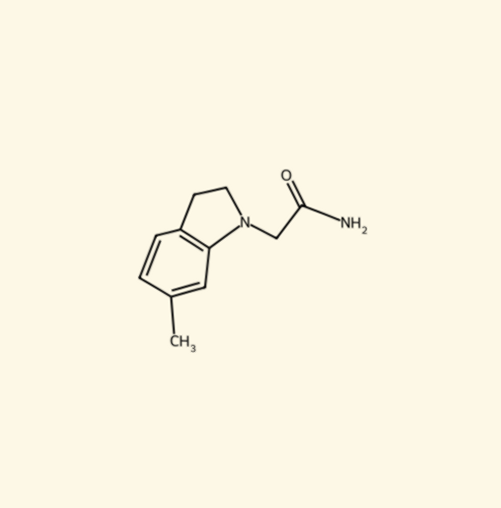 Cc1ccc2c(c1)N(CC(N)=O)CC2